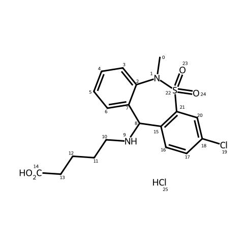 CN1c2ccccc2C(NCCCCC(=O)O)c2ccc(Cl)cc2S1(=O)=O.Cl